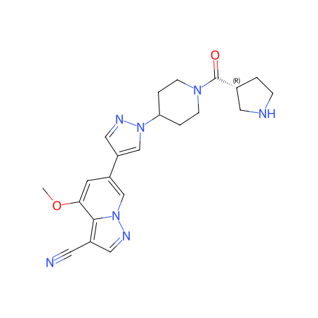 COc1cc(-c2cnn(C3CCN(C(=O)[C@@H]4CCNC4)CC3)c2)cn2ncc(C#N)c12